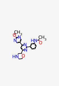 COc1ncc(-c2cc(C3CNCCO3)nc(-c3cccc(NC(C)=O)c3)n2)cn1